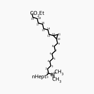 CCCCCCCC(CCCCCCCCC1CC1CCCCCCCC(=O)OCC)N(C)C